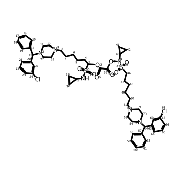 O=C(OC(CCCCCN1CCN(C(c2ccccc2)c2cccc(Cl)c2)CC1)S(=O)(=O)NC1CC1)C(=O)ON(C1CC1)S(=O)(=O)CCCCCCN1CCN(C(c2ccccc2)c2cccc(Cl)c2)CC1